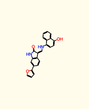 O=C1Nc2cc(-c3ccco3)ccc2C1=CNc1ccc(O)c2ccccc12